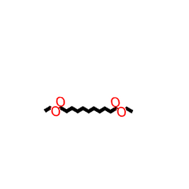 CCOC(=O)CCCCCCCCCC(=O)OCC